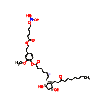 CCCCCCCC(=O)CC[C@@H]1[C@@H](C/C=C\CCCC(=O)Oc2ccc(CCOC(=O)CCCCON(O)O)cc2OC)[C@@H](O)C[C@H]1O